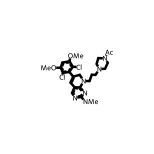 CNc1ncc2c(n1)N(CCCN1CCN(C(C)=O)CC1)CC(c1c(Cl)c(OC)cc(OC)c1Cl)=C2